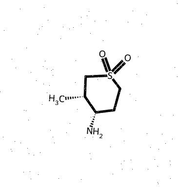 C[C@@H]1CS(=O)(=O)CC[C@@H]1N